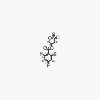 O=C(OC1COS(=O)(=O)C1)c1c(F)cc(F)cc1F